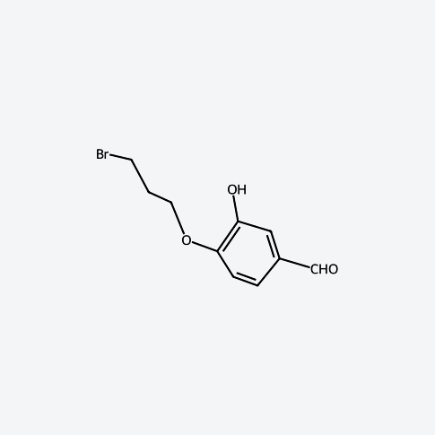 O=Cc1ccc(OCCCBr)c(O)c1